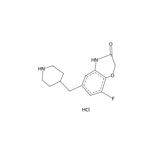 Cl.O=C1COc2c(F)cc(CC3CCNCC3)cc2N1